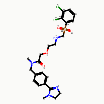 CN(Cc1ccc(C2=NCCN2C)cc1)C(=O)COCCNCS(=O)(=O)c1cccc(Cl)c1Cl